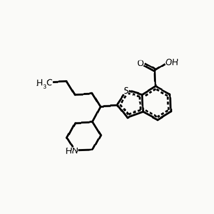 CCCCC(c1cc2cccc(C(=O)O)c2s1)C1CCNCC1